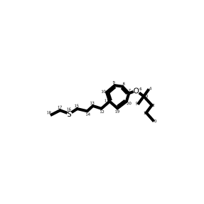 CCCC(C)(C)OC1=CC=C=C(CCCCSCC)C=C1